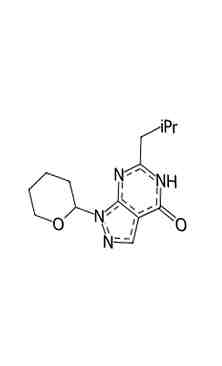 CC(C)Cc1nc2c(cnn2C2CCCCO2)c(=O)[nH]1